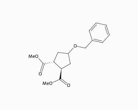 COC(=O)[C@@H]1CC(OCc2ccccc2)C[C@H]1C(=O)OC